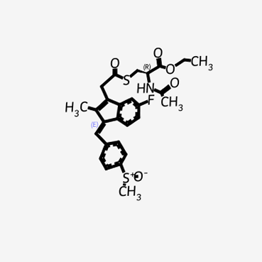 CCOC(=O)[C@H](CSC(=O)CC1=C(C)/C(=C/c2ccc([S+](C)[O-])cc2)c2ccc(F)cc21)NC(C)=O